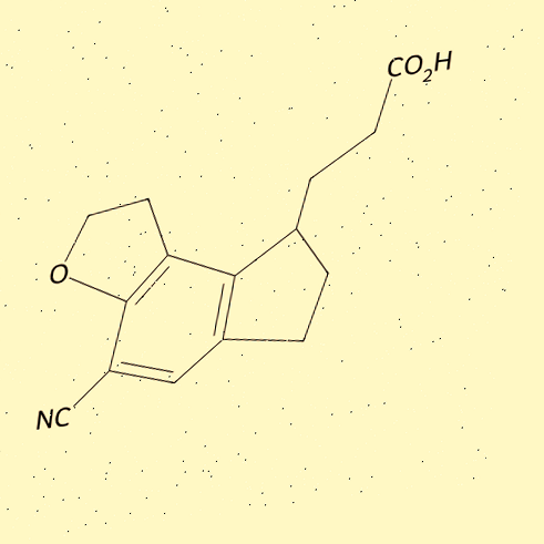 N#Cc1cc2c(c3c1OCC3)C(CCC(=O)O)CC2